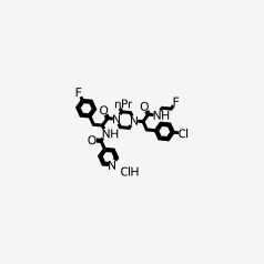 CCCC1CN(C(Cc2ccc(Cl)cc2)C(=O)NCCF)CCN1C(=O)C(Cc1ccc(F)cc1)NC(=O)c1ccncc1.Cl